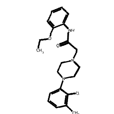 CCOc1ccccc1NC(=O)CN1CCN(c2cccc(C)c2Cl)CC1